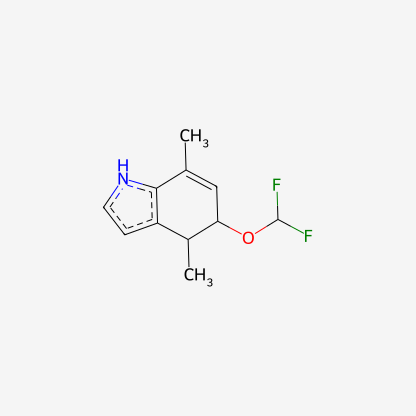 CC1=CC(OC(F)F)C(C)c2cc[nH]c21